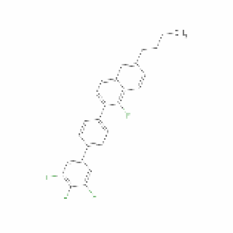 CCCCc1ccc2c(F)c(-c3ccc(-c4cc(F)c(F)c(F)c4)cc3)ccc2c1